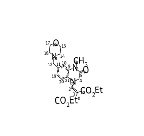 CCOC(=O)C(=CN1CC(=O)N(C)c2cc(CN3CCOCC3)ccc21)C(=O)OCC